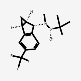 CN([C@@H]1c2ccc(C(F)(F)F)cc2[C@H]2C[C@H]21)[S@@+]([O-])C(C)(C)C